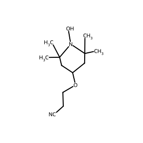 CC1(C)CC(OCCC#N)CC(C)(C)N1O